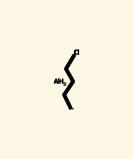 [AlH3].[CH2]CCCCl